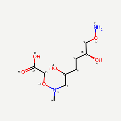 CN(CC(O)CC[C@H](O)CON)OCC(=O)O